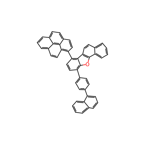 c1ccc2c(-c3ccc(-c4ccc(-c5ccc6ccc7cccc8ccc5c6c78)c5c4oc4c6ccccc6ccc45)cc3)cccc2c1